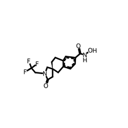 O=C(NO)c1ccc2c(c1)CC[C@]1(CC(=O)N(CC(F)(F)F)C1)C2